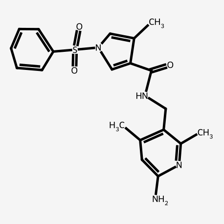 Cc1cn(S(=O)(=O)c2ccccc2)cc1C(=O)NCc1c(C)cc(N)nc1C